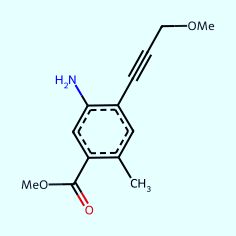 COCC#Cc1cc(C)c(C(=O)OC)cc1N